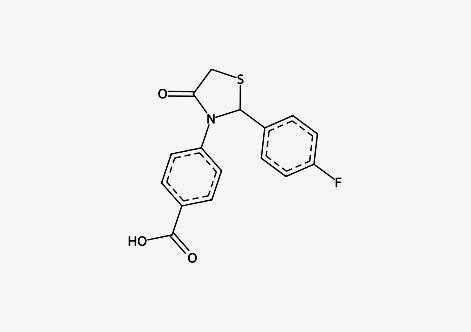 O=C(O)c1ccc(N2C(=O)CSC2c2ccc(F)cc2)cc1